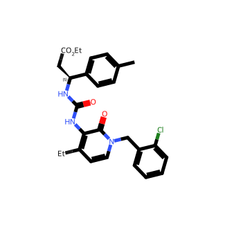 CCOC(=O)C[C@H](NC(=O)Nc1c(CC)ccn(Cc2ccccc2Cl)c1=O)c1ccc(C)cc1